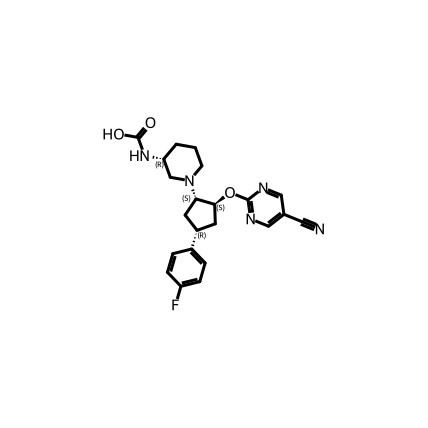 N#Cc1cnc(O[C@H]2C[C@H](c3ccc(F)cc3)C[C@@H]2N2CCC[C@@H](NC(=O)O)C2)nc1